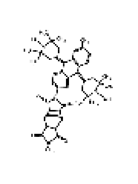 Cc1ccc2c(=C3CC(C)(C)N(O)C(C)(C)C3)c3cc(N4C(=O)C5C6C=CC(C7C(=O)N(C)C(=O)C67)C5C4=O)ccc3c(=C3CC(C)(C)N(O)C(C)(C)C3)c2c1